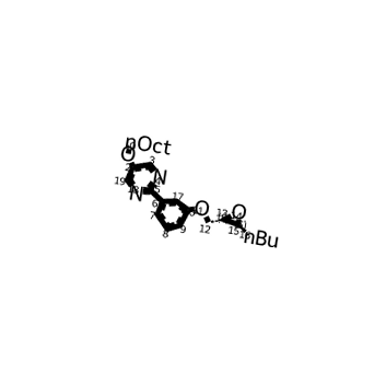 CCCCCCCCOc1cnc(-c2cccc(OC[C@@H]3O[C@H]3CCCC)c2)nc1